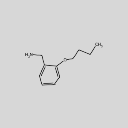 CCCCOc1c[c]ccc1CN